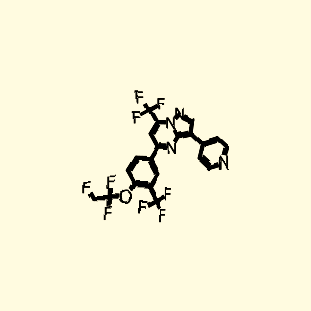 FCC(F)(F)Oc1ccc(-c2cc(C(F)(F)F)n3ncc(-c4ccncc4)c3n2)cc1C(F)(F)F